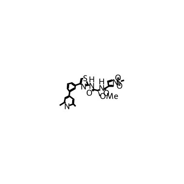 COC[C@H](NC(=O)c1ccn(S(C)(=O)=O)c1)C(=O)Nc1nc(-c2cccc(-c3cc(C)nc(C)c3)c2)cs1